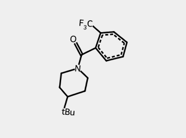 CC(C)(C)C1CCN(C(=O)c2ccccc2C(F)(F)F)CC1